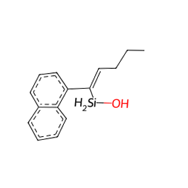 CCCC=C([SiH2]O)c1cccc2ccccc12